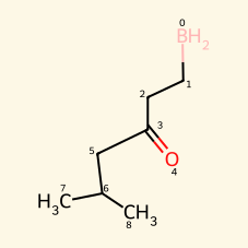 BCCC(=O)CC(C)C